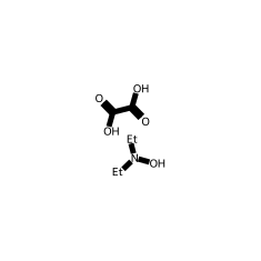 CCN(O)CC.O=C(O)C(=O)O